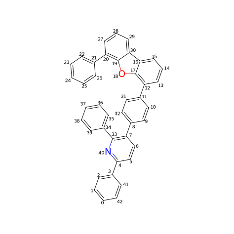 c1ccc(-c2ccc(-c3ccc(-c4cccc5c4oc4c(-c6ccccc6)cccc45)cc3)c(-c3ccccc3)n2)cc1